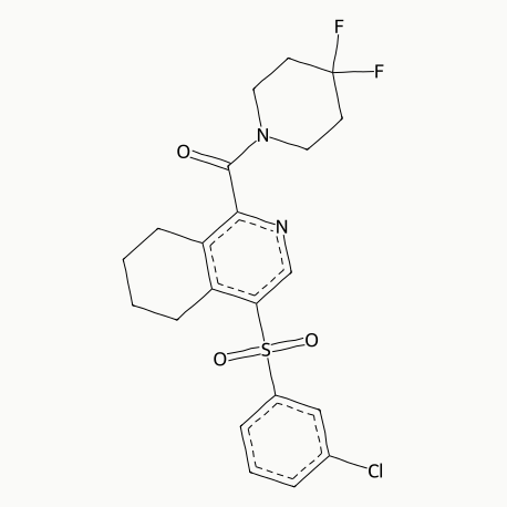 O=C(c1ncc(S(=O)(=O)c2cccc(Cl)c2)c2c1CCCC2)N1CCC(F)(F)CC1